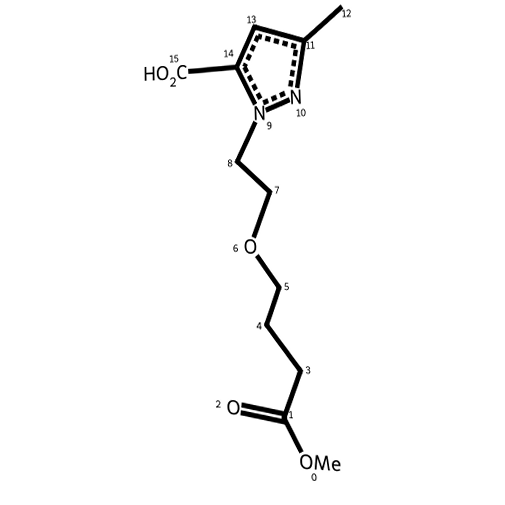 COC(=O)CCCOCCn1nc(C)cc1C(=O)O